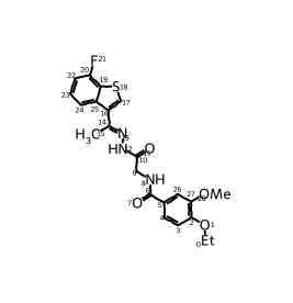 CCOc1ccc(C(=O)NCC(=O)N/N=C(\C)c2csc3c(F)cccc23)cc1OC